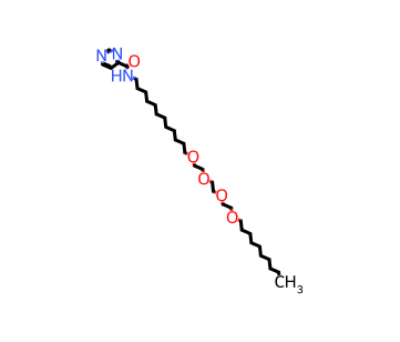 CCCCCCCCCCOCCOCCOCCOCCCCCCCCCCCCNC(=O)c1ccncn1